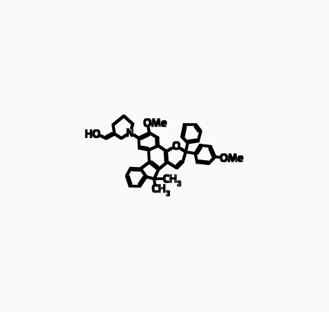 COc1ccc(C2(c3ccccc3)C=Cc3c4c(c5cc(N6CCCC(=CO)C6)c(OC)cc5c3O2)-c2ccccc2C4(C)C)cc1